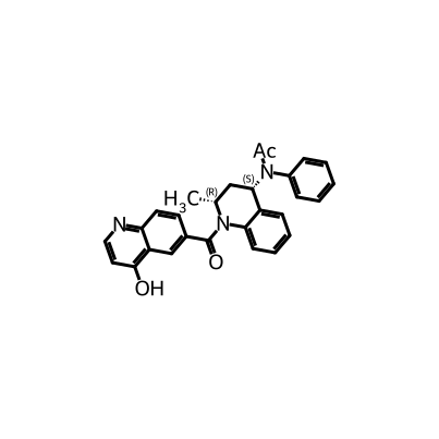 CC(=O)N(c1ccccc1)[C@H]1C[C@@H](C)N(C(=O)c2ccc3nccc(O)c3c2)c2ccccc21